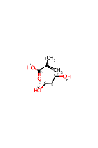 C=C(C)C(=O)O.OCCCO